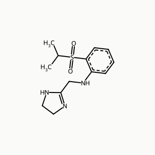 CC(C)S(=O)(=O)c1ccccc1NCC1=NCCN1